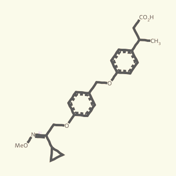 CO/N=C(/COc1ccc(COc2ccc(C(C)CC(=O)O)cc2)cc1)C1CC1